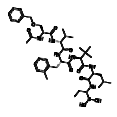 CCC(NC(=O)[C@H](CC(C)C)NC(=O)[C@@H](NC(=O)[C@H](Cc1ccccc1C)NC(=O)[C@H](NC(=O)[C@H](COCc1ccccc1)NC(C)=O)C(C)C)C(C)(C)C)B(O)O